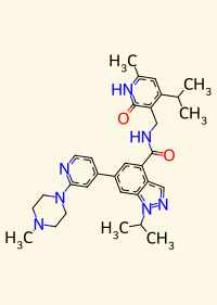 Cc1cc(C(C)C)c(CNC(=O)c2cc(-c3ccnc(N4CCN(C)CC4)c3)cc3c2cnn3C(C)C)c(=O)[nH]1